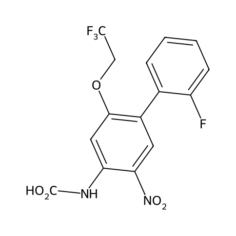 O=C(O)Nc1cc(OCC(F)(F)F)c(-c2ccccc2F)cc1[N+](=O)[O-]